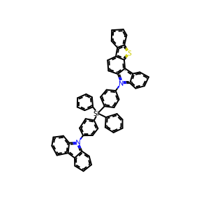 c1ccc([Si](c2ccccc2)(c2ccc(-n3c4ccccc4c4ccccc43)cc2)c2ccc(-n3c4ccccc4c4c5sc6ccccc6c5ccc43)cc2)cc1